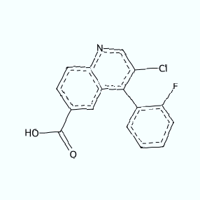 O=C(O)c1ccc2ncc(Cl)c(-c3ccccc3F)c2c1